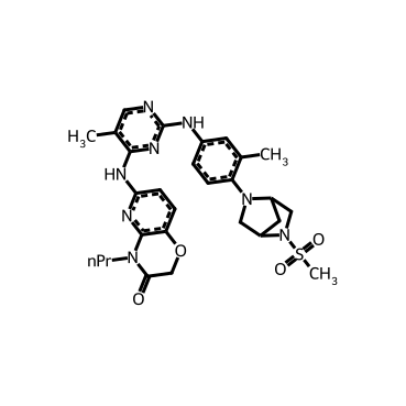 CCCN1C(=O)COc2ccc(Nc3nc(Nc4ccc(N5CC6CC5CN6S(C)(=O)=O)c(C)c4)ncc3C)nc21